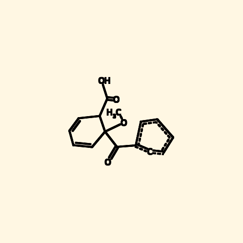 COC1(C(=O)c2ccccc2)C=CC=CC1C(=O)O